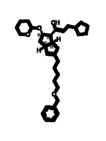 OC(=CCC1CCCC1)[C@H]1[C@@H]2CC(CCCCCOCc3ccccc3)=C[C@@H]2C[C@@H]1OC1CCCCO1